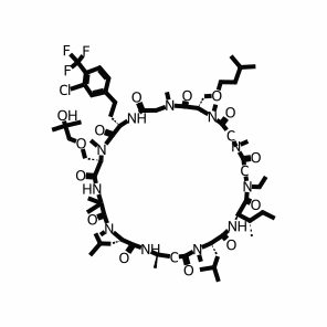 CC[C@H](C)[C@@H]1NC(=O)[C@H](CC(C)C)N(C)C(=O)C[C@@H](C)NC(=O)[C@H](CC(C)C)N(C)C(=O)C(C)(C)NC(=O)[C@H](COCC(C)(C)O)N(C)C(=O)[C@H](CCc2ccc(C(F)(F)F)c(Cl)c2)NC(=O)CN(C)C(=O)[C@H](COCCC(C)C)N(C)C(=O)CN(C)C(=O)CN(CC)C1=O